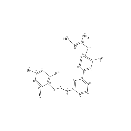 CCCc1cc(-c2cc(NCCc3c(F)cc(Br)cc3F)ncn2)ccc1CC(N)=NO